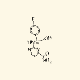 NC(=O)c1ccnc(N[C@@H](CO)c2ccc(F)cc2)n1